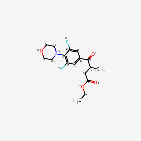 CCOC(=O)CC(C)C(=O)c1cc(F)c(N2CCOCC2)c(F)c1